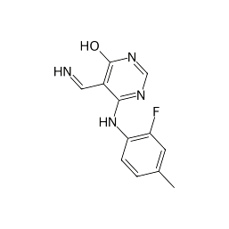 Cc1ccc(Nc2ncnc(O)c2C=N)c(F)c1